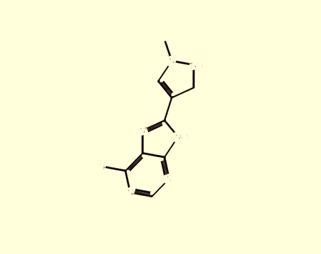 CN1C=C(c2nc3c(Cl)ncnc3[nH]2)CN1